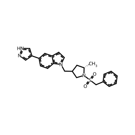 C[C@H]1CC(Cn2ccc3cc(-c4cn[nH]c4)ccc32)CN1S(=O)(=O)Cc1ccccc1